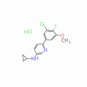 COc1cc(-c2ccc(NC3CC3)cn2)cc(Cl)c1F.Cl